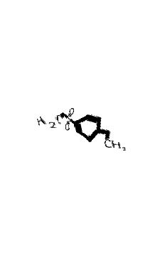 C=CS(=O)(=O)c1ccc(CC)cc1